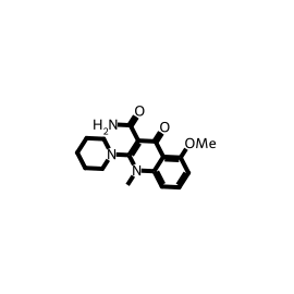 COc1cccc2c1c(=O)c(C(N)=O)c(N1CCCCC1)n2C